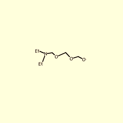 CCN(CC)COCOC[O]